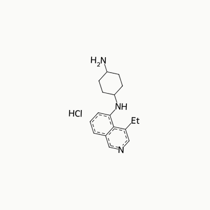 CCc1cncc2cccc(NC3CCC(N)CC3)c12.Cl